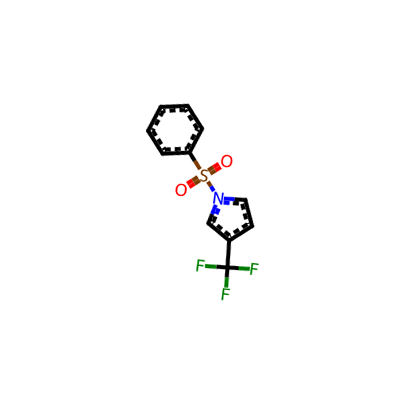 O=S(=O)(c1ccccc1)n1ccc(C(F)(F)F)c1